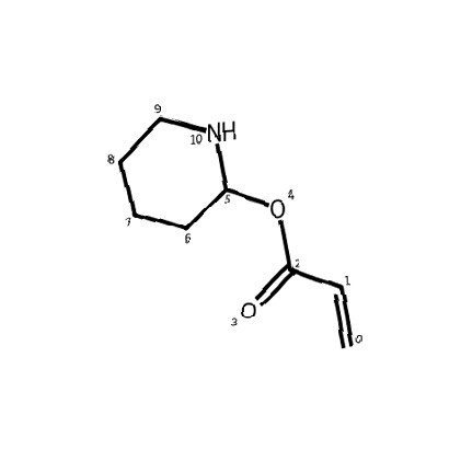 C=CC(=O)OC1CCCCN1